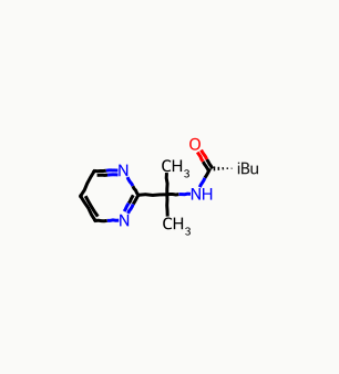 CC[C@@H](C)C(=O)NC(C)(C)c1ncccn1